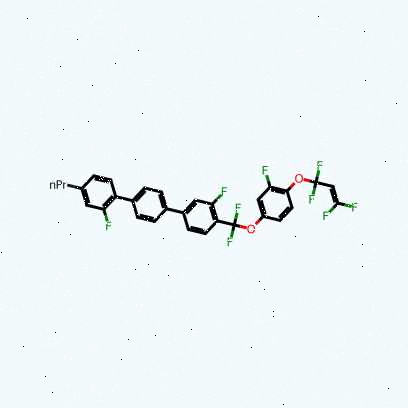 CCCc1ccc(-c2ccc(-c3ccc(C(F)(F)Oc4ccc(OC(F)(F)C=C(F)F)c(F)c4)c(F)c3)cc2)c(F)c1